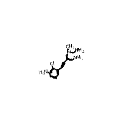 CN(CN)C/C(C#Cc1cccc(N)c1Cl)=C\N